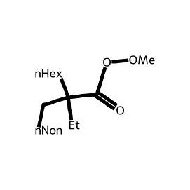 CCCCCCCCCCC(CC)(CCCCCC)C(=O)OOC